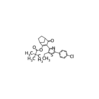 CCc1sc(-c2ccc(Cl)cc2)nc1C1=C(OC(=O)C(C)(C)C)C2CCC(C2)C1=O